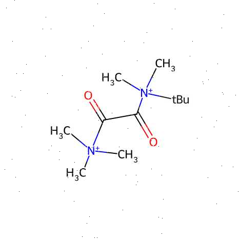 CC(C)(C)[N+](C)(C)C(=O)C(=O)[N+](C)(C)C